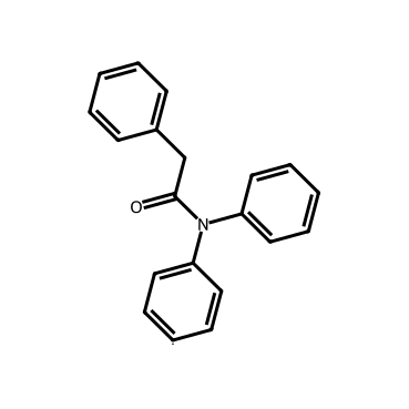 O=C(Cc1ccccc1)N(c1cc[c]cc1)c1ccccc1